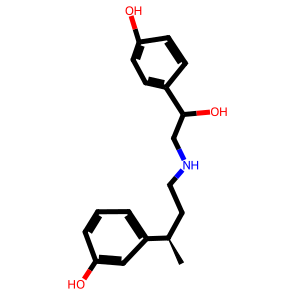 C[C@H](CCNCC(O)c1ccc(O)cc1)c1cccc(O)c1